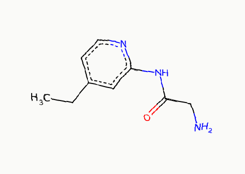 CCc1ccnc(NC(=O)CN)c1